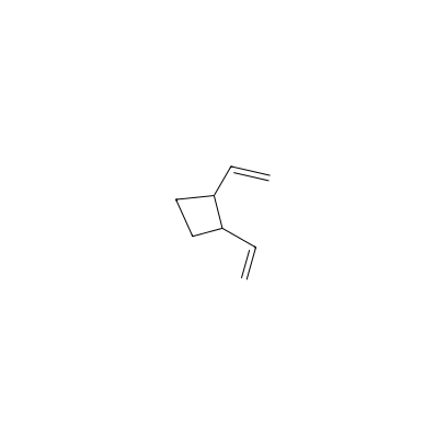 C=CC1CCC1C=C